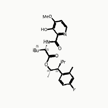 CC[C@H](C)[C@H](NC(=O)c1nccc(OC)c1O)C(=O)O[C@@H](C)[C@H](c1ccc(F)cc1C)C(C)C